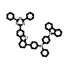 c1ccc(-c2nc(-c3ccccc3)nc(-c3ccc4c(c3)oc3c(-c5ccc(N(c6ccccc6)c6ccc(-n7c8ccccc8c8ccccc87)cc6)cc5)cccc34)n2)cc1